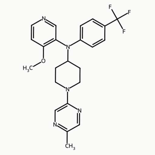 COc1ccncc1N(c1ccc(C(F)(F)F)cc1)C1CCN(c2cnc(C)cn2)CC1